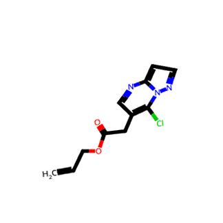 C=CCOC(=O)Cc1cnc2ccnn2c1Cl